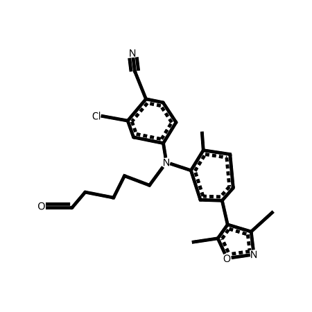 Cc1ccc(-c2c(C)noc2C)cc1N(CCCCC=O)c1ccc(C#N)c(Cl)c1